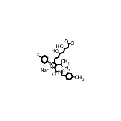 Cc1ccc(CNC(=O)c2nn(-c3ccc(F)cc3)c(C=C[C@H](O)C[C@@H](O)CC(=O)[O-])c2C(C)C)cc1.[Na+]